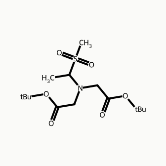 CC(N(CC(=O)OC(C)(C)C)CC(=O)OC(C)(C)C)S(C)(=O)=O